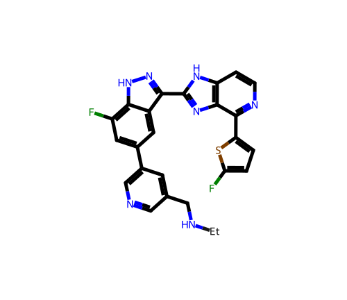 CCNCc1cncc(-c2cc(F)c3[nH]nc(-c4nc5c(-c6ccc(F)s6)nccc5[nH]4)c3c2)c1